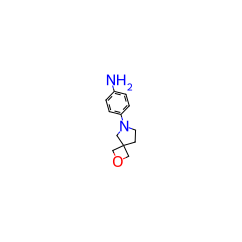 Nc1ccc(N2CCC3(COC3)C2)cc1